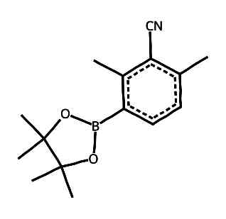 Cc1ccc(B2OC(C)(C)C(C)(C)O2)c(C)c1C#N